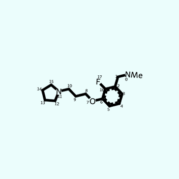 CNCc1cccc(OCCCN2CCCC2)c1F